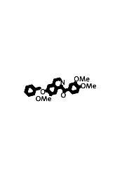 COc1ccc(C(=O)C2=NCCc3cc(OCc4ccccc4)c(OC)cc32)cc1OC